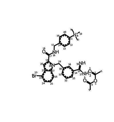 CC(=O)OC(C)=O.C[N+](C)(C)c1ccc(CNC(=O)c2cc3c(Br)cccc3n2Cc2cccc(C(=N)N)c2)cc1